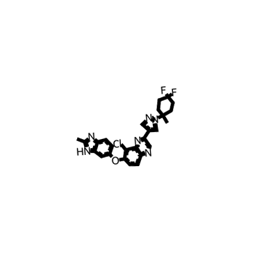 Cc1nc2ccc(Oc3ccc4ncc(-c5cnn(C6(C)CCC(F)(F)CC6)c5)nc4c3Cl)cc2[nH]1